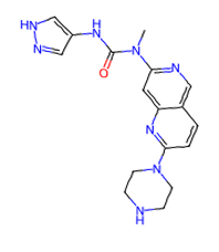 CN(C(=O)Nc1cn[nH]c1)c1cc2nc(N3CCNCC3)ccc2cn1